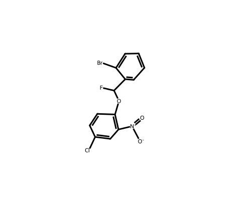 O=[N+]([O-])c1cc(Cl)ccc1OC(F)c1ccccc1Br